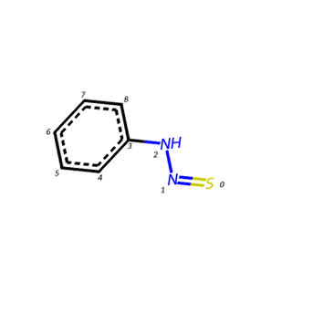 S=NNc1ccccc1